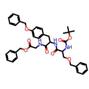 CC(C)(C)OC(=O)NC(COCc1ccccc1)C(=O)NC(Cc1ccc(OCc2ccccc2)cc1)C(=O)NCC(=O)OCc1ccccc1